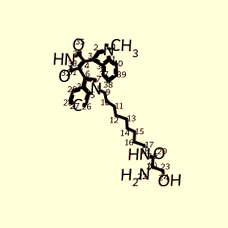 Cn1cc(C2=C(c3cn(CCCCCCCCCNC(=O)[C@@H](N)CO)c4ccccc34)C(=O)NC2=O)c2ccccc21